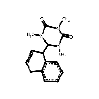 CN1C(=O)N(C)C(C2C=CCc3ccccc32)N(C)C1=O